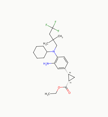 CCOC(=O)[C@H]1C[C@H]1c1ccc(N(CC(C)(C)CC(F)(F)F)C2CCCCC2)c(N)c1